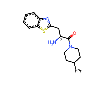 CCCC1CCN(C(=O)[C@@H](N)Cc2nc3ccccc3s2)CC1